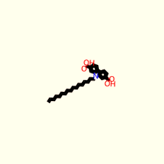 CCCCCCCCCCCCCCCCCn1c2cc(C(=O)O)ccc2c2ccc(C(=O)O)cc21